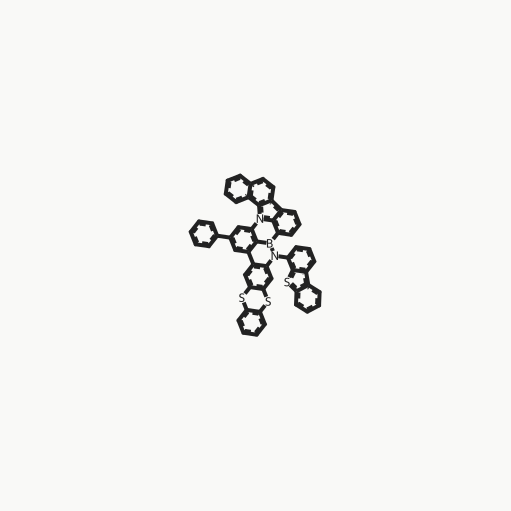 c1ccc(-c2cc3c4c(c2)-n2c5c(cccc5c5ccc6ccccc6c52)B4N(c2cccc4c2sc2ccccc24)c2cc4c(cc2-3)Sc2ccccc2S4)cc1